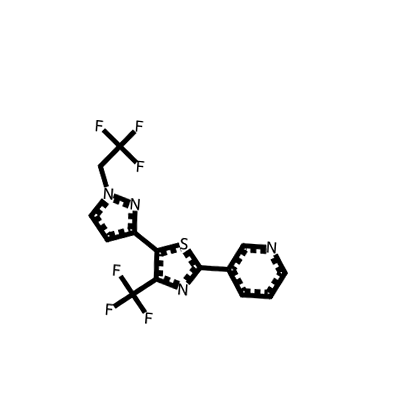 FC(F)(F)Cn1ccc(-c2sc(-c3cccnc3)nc2C(F)(F)F)n1